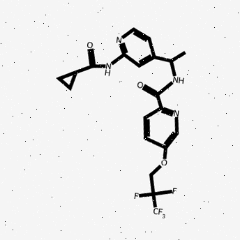 CC(NC(=O)c1ccc(OCC(F)(F)C(F)(F)F)cn1)c1ccnc(NC(=O)C2CC2)c1